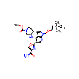 CC(C)(C)OC(=O)N1CCC[C@@H](Nc2c(-c3nc(C(N)=O)co3)cnc3c2ccn3COCC[Si](C)(C)C)C1